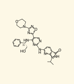 CC(C)n1[nH]c(=O)c2ccc(Nc3ncc(-c4nc(N5CCOCC5)no4)c(N[C@H](CO)c4ccccc4)n3)nc21